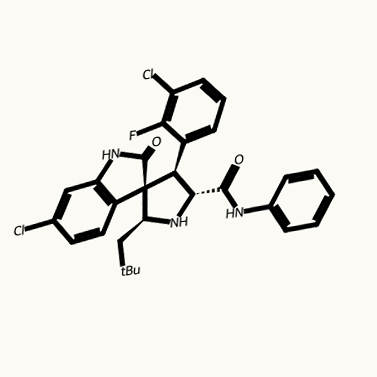 CC(C)(C)C[C@@H]1N[C@@H](C(=O)Nc2ccccc2)[C@H](c2cccc(Cl)c2F)[C@]12C(=O)Nc1cc(Cl)ccc12